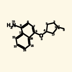 CN1CCC(Oc2ccc(N)c3ccccc23)C1